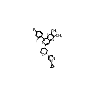 Cc1nc2cc([C@H]3CCO[C@@H](c4cnn(C5CC5)c4)C3)nc(-c3ccc(F)cc3F)c2nc1C